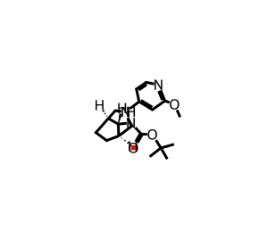 COc1cc(N2C[C@H]3CC[C@@H](C2)[C@@H]3NC(=O)OC(C)(C)C)ccn1